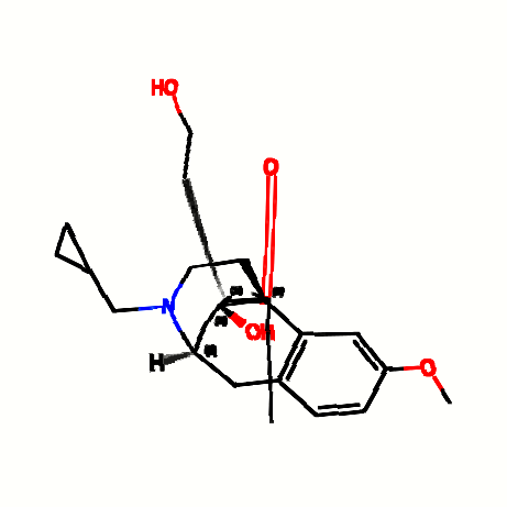 COc1ccc2c(c1)[C@]13CCN(CC4CC4)[C@H](C2)[C@]1(O)C[C@H](CCO)C(=O)C3